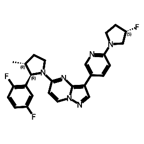 C[C@@H]1CCN(c2ccn3ncc(-c4ccc(N5CC[C@H](F)C5)nc4)c3n2)[C@H]1c1cc(F)ccc1F